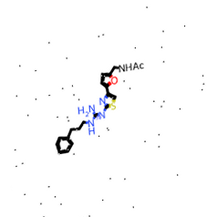 CC(=O)NCc1ccc(-c2csc(/N=C(\N)NCCCc3ccccc3)n2)o1